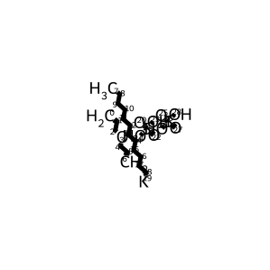 C=CCOCC=C.CCCCCCCCCCC[CH2][K].O=S(=O)(O)O.O=S(=O)(O)O